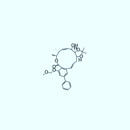 COCOc1cc(-c2ccccc2)cc2c1C(=O)O[C@@H](C)[C@H](C)/C=C\C(O)[C@H]1OC(C)(C)O[C@H]1C/C=C/2